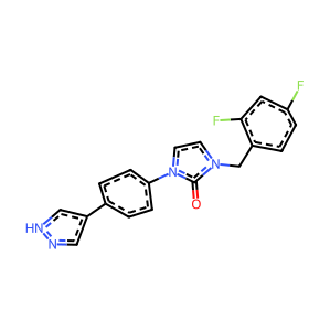 O=c1n(Cc2ccc(F)cc2F)ccn1-c1ccc(-c2cn[nH]c2)cc1